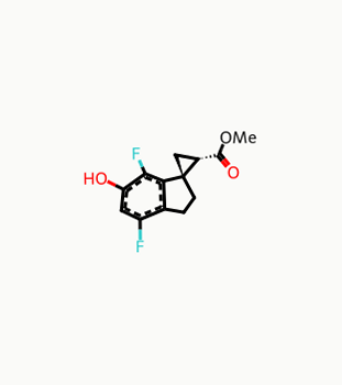 COC(=O)[C@H]1C[C@]12CCc1c(F)cc(O)c(F)c12